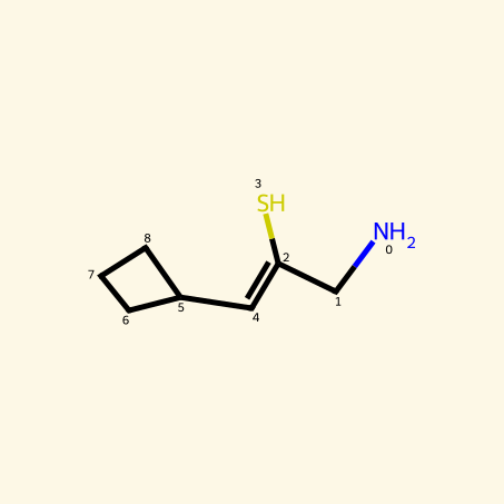 NC/C(S)=C/C1CCC1